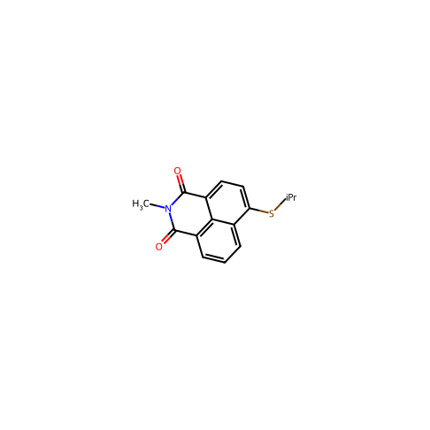 CC(C)Sc1ccc2c3c(cccc13)C(=O)N(C)C2=O